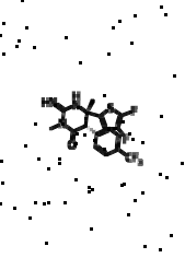 CN1C(=N)N[C@](C)(c2cc(F)c(F)s2)[C@H](c2ccc(C(F)(F)F)cc2)C1=O